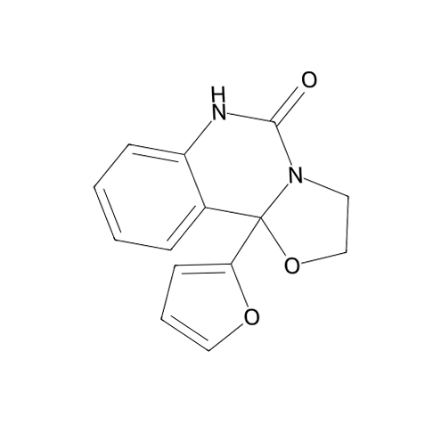 O=C1Nc2ccccc2C2(c3ccco3)OCCN12